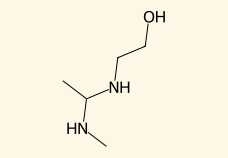 CNC(C)NCCO